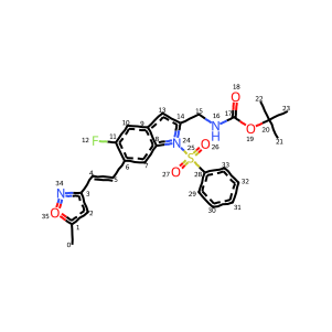 Cc1cc(/C=C/c2cc3c(cc2F)cc(CNC(=O)OC(C)(C)C)n3S(=O)(=O)c2ccccc2)no1